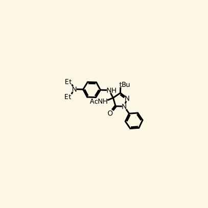 CCN(CC)c1ccc(NC2(NC(C)=O)C(=O)N(c3ccccc3)N=C2C(C)(C)C)cc1